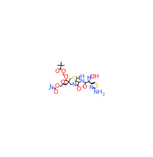 CN(C)C(=O)OCC=CC1(C(=O)OCOC(=O)C(C)(C)C)CS[C@@H]2C(NC(=O)C(=NO)c3csc(N)n3)C(=O)N2C1